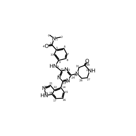 CN(C)C(=O)c1cccc(Nc2nc(-c3cccc4[nH]ncc34)nc(N3CCNC(=O)C3)n2)c1